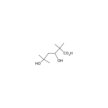 CC(C)(O)CC(O)C(C)(C)C(=O)O